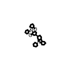 c1ccc(-n2c3ccccc3c3ccc(-c4cc5c6c(c4)Oc4ccccc4N6c4ccccc4O5)cc32)cc1